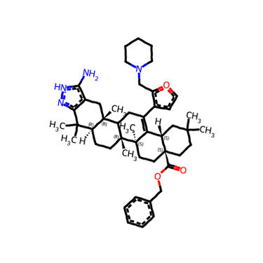 CC1(C)CC[C@]2(C(=O)OCc3ccccc3)CC[C@]3(C)C(=C(c4ccoc4CN4CCCCC4)CC4[C@@]5(C)Cc6c(n[nH]c6N)C(C)(C)[C@@H]5CC[C@]43C)[C@@H]2C1